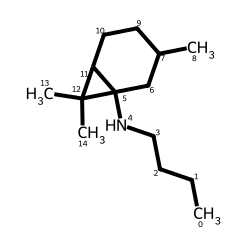 CCCCNC12CC(C)CCC1C2(C)C